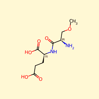 COC[C@@H](N)C(=O)N[C@@H](CCC(=O)O)C(=O)O